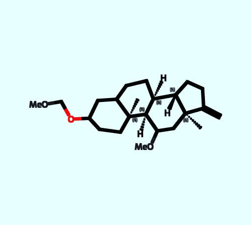 C=C1CC[C@H]2[C@@H]3CCC4CC(OCOC)CC[C@]4(C)[C@@H]3C(OC)C[C@]12C